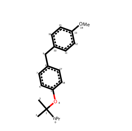 CCCC(C)(C)Oc1ccc(Cc2ccc(OC)cc2)cc1